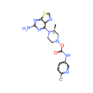 C[C@H]1CN(OC(=O)Nc2ccc(Cl)nc2)CCN1c1nc(N)nc2scnc12